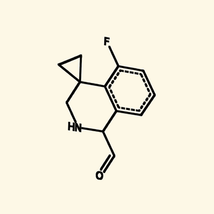 O=CC1NCC2(CC2)c2c(F)cccc21